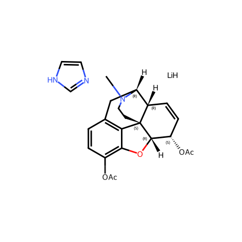 CC(=O)Oc1ccc2c3c1O[C@H]1[C@@H](OC(C)=O)C=C[C@H]4[C@@H](C2)N(C)CC[C@@]341.[LiH].c1c[nH]cn1